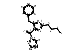 CCCCc1nc(Cc2ccccc2)n(C(=O)n2cncn2)n1